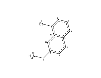 CCc1cccc2ccc(CN)cc12